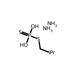 CC(C)CSP(O)(O)=S.N.N